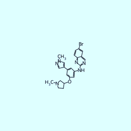 CN1CCC(Oc2cc(Nc3ncc4cc(Br)ccc4n3)cc(-c3cnn(C)c3)c2)C1